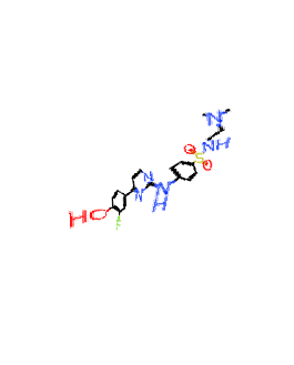 CN(C)CCNS(=O)(=O)c1ccc(Nc2nccc(-c3ccc(O)c(F)c3)n2)cc1